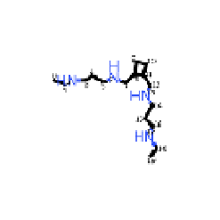 CCNCCCNCC1CCC1CNCCCNCC